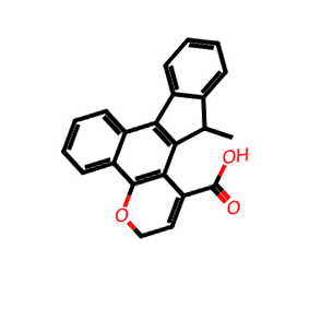 CC1c2ccccc2-c2c1c1c(c3ccccc23)OCC=C1C(=O)O